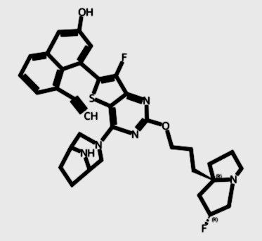 C#Cc1cccc2cc(O)cc(-c3sc4c(N5CC6CCC(C5)N6)nc(OCCC[C@@]56CCCN5C[C@H](F)C6)nc4c3F)c12